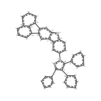 c1ccc(-c2nn(-c3ccc4oc5cc6c(cc5c4c3)-c3cccc4cccc-6c34)c(-c3ccccc3)c2-c2ccccc2)cc1